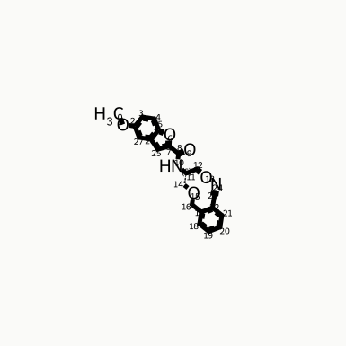 COc1ccc2oc(C(=O)N[C@H](C=O)COCc3ccccc3C#N)cc2c1